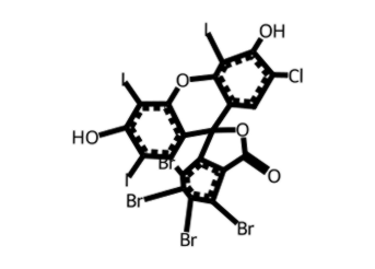 O=C1OC2(c3cc(Cl)c(O)c(I)c3Oc3c2cc(I)c(O)c3I)c2c(Br)c(Br)c(Br)c(Br)c21